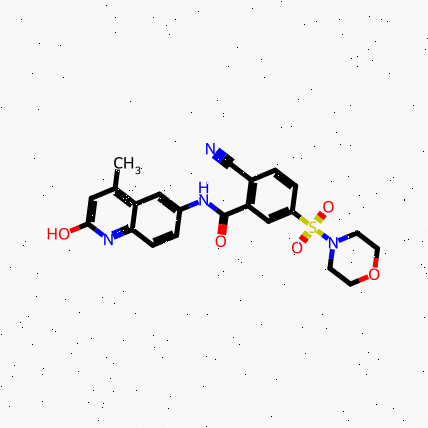 Cc1cc(O)nc2ccc(NC(=O)c3cc(S(=O)(=O)N4CCOCC4)ccc3C#N)cc12